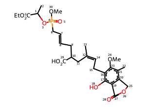 CCOC(=O)C(C)OP(=O)(CC=CCC(CC(C)=CCc1c(O)c2c(c(C)c1OC)COC2=O)C(=O)O)OC